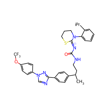 CC(C)c1ccccc1N1CCCS/C1=N\C(=O)NCCC(C)c1ccc(-c2ncn(-c3ccc(OC(F)(F)F)cc3)n2)cc1